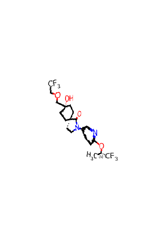 C[C@H](Oc1ccc(N2CC[C@]3(CC[C@](O)(COCC(F)(F)F)CC3)C2=O)cn1)C(F)(F)F